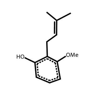 COc1cccc(O)c1CC=C(C)C